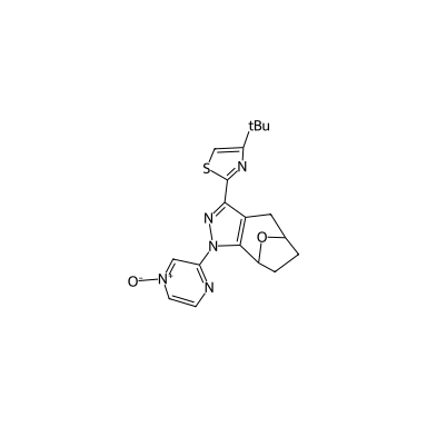 CC(C)(C)c1csc(-c2nn(-c3c[n+]([O-])ccn3)c3c2CC2CCC3O2)n1